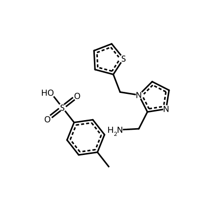 Cc1ccc(S(=O)(=O)O)cc1.NCc1nccn1Cc1cccs1